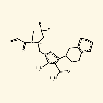 C=CC(=O)N1CC(F)(F)C[C@H]1Cn1nc(C2CCc3ccccc3C2)c(C(N)=O)c1N